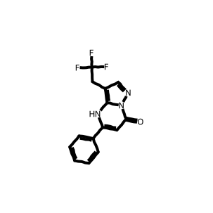 O=c1cc(-c2ccccc2)[nH]c2c(CC(F)(F)F)cnn12